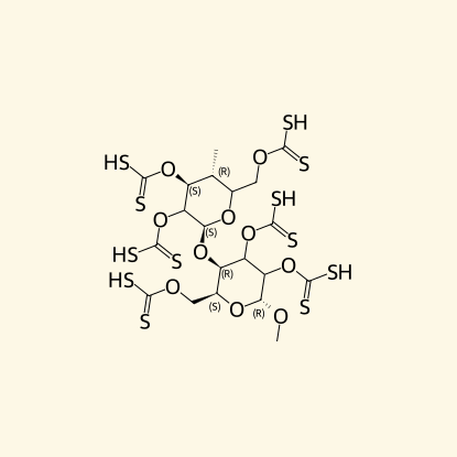 CO[C@@H]1O[C@@H](COC(=S)S)[C@@H](O[C@@H]2OC(COC(=S)S)[C@@H](C)[C@H](OC(=S)S)C2OC(=S)S)C(OC(=S)S)C1OC(=S)S